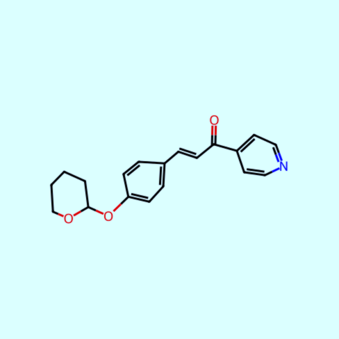 O=C(C=Cc1ccc(OC2CCCCO2)cc1)c1ccncc1